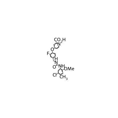 COc1cc(C)c(Cl)cc1NC(=O)NCc1ccc(Oc2ccnc(C(=O)O)c2)c(F)c1